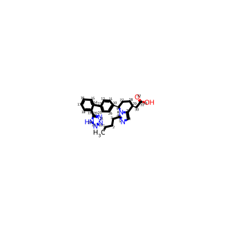 CCCCc1ncc2n1[C@@H](c1ccc(-c3ccccc3-c3nnn[nH]3)cc1)CC[C@H]2CC(=O)O